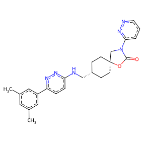 Cc1cc(C)cc(-c2ccc(NC[C@H]3CC[C@]4(CC3)CN(c3cccnn3)C(=O)O4)nn2)c1